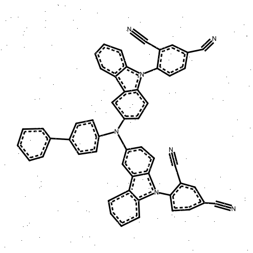 N#Cc1ccc(-n2c3ccccc3c3cc(N(c4ccc(-c5ccccc5)cc4)c4ccc5c(c4)c4ccccc4n5-c4ccc(C#N)cc4C#N)ccc32)c(C#N)c1